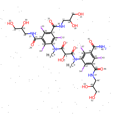 CN(C(=O)C(O)C(=O)N(C)c1c(I)c(C(=O)NCC(O)CO)c(I)c(C(=O)NCC(O)CO)c1I)c1c(I)c(C(N)=O)c(I)c(C(=O)NCC(O)CO)c1I